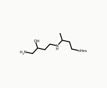 CCCCCCCCC(C)NCCC(O)CN